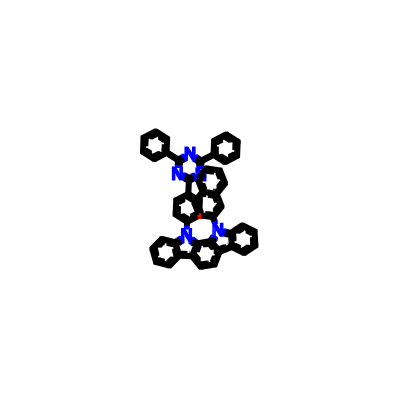 c1ccc(-c2nc(-c3ccccc3)nc(-c3ccc(-n4c5ccccc5c5ccc6c7ccccc7n(-c7ccc8ccccc8c7)c6c54)cc3)n2)cc1